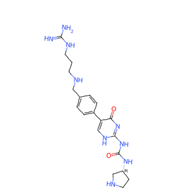 N=C(N)NCCCNCc1ccc(-c2c[nH]c(NC(=O)N[C@@H]3CCNC3)nc2=O)cc1